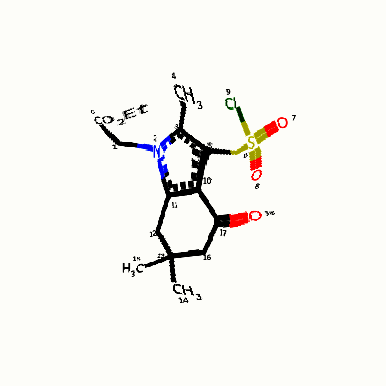 CCOC(=O)Cn1c(C)c(S(=O)(=O)Cl)c2c1CC(C)(C)CC2=O